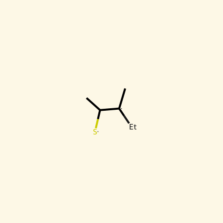 CC[C](C)C(C)[S]